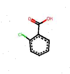 O=C(O)c1cc[c]cc1Cl